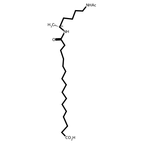 CC(=O)NCCCC[C@@H](C)NC(=O)CCCCCCCCCCCCCCC(=O)O